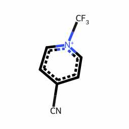 N#Cc1cc[n+](C(F)(F)F)cc1